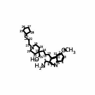 COc1ccc2ncc(CN)c(CCCC3(CO)CCN(CCSC4CCCC4)CC3)c2c1